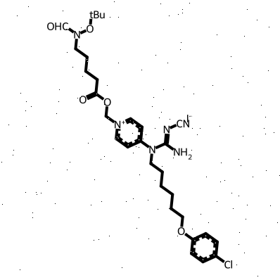 CC(C)(C)ON(C=O)CCCCC(=O)OC[n+]1ccc(N(CCCCCCOc2ccc(Cl)cc2)C(N)=NC#N)cc1.[I-]